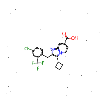 O=C(O)c1ccn2c(C3CCC3)c(Cc3ccc(Cl)cc3C(F)(F)F)nc2c1